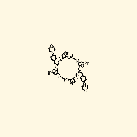 CC(C)CC1C(=O)OC(C)CN(C)C(CC(C)C)C(=O)OC(Cc2ccc(N3CCOCC3)cc2)CN(C)C(CC(C)C)C(=O)OC(C)CN(C)C(CC(C)C)C(=O)OC(Cc2ccc(N3CCOCC3)cc2)CN1C